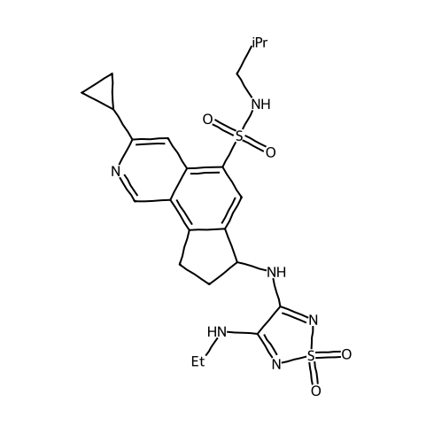 CCNC1=NS(=O)(=O)N=C1NC1CCc2c1cc(S(=O)(=O)NCC(C)C)c1cc(C3CC3)ncc21